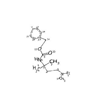 CCN(C)CCC(C)(C)NC(=O)OCc1ccccc1